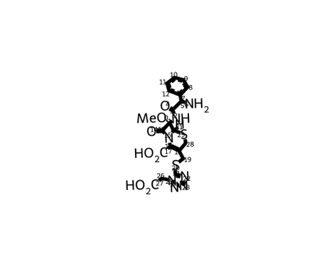 CO[C@@]1(NC(=O)C(N)c2ccccc2)C(=O)N2C(C(=O)O)=C(CSc3nnnn3CC(=O)O)CS[C@H]21